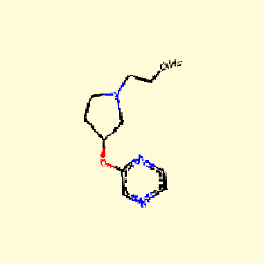 COCCN1CC[C@H](Oc2cnccn2)C1